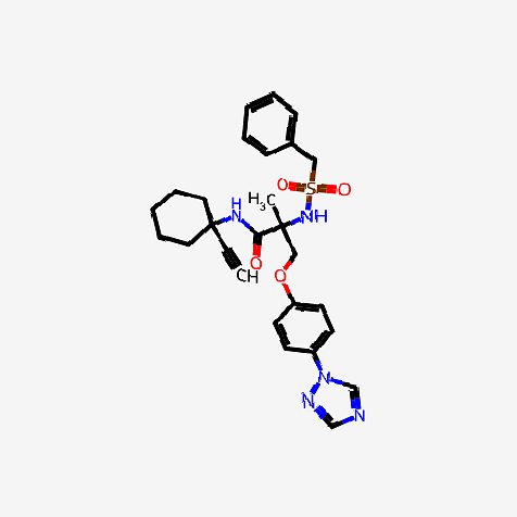 C#CC1(NC(=O)C(C)(COc2ccc(-n3cncn3)cc2)NS(=O)(=O)Cc2ccccc2)CCCCC1